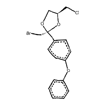 ClC[C@@H]1CO[C@](CBr)(c2ccc(Oc3ccccc3)cc2)O1